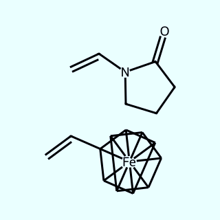 C=CN1CCCC1=O.C=C[C]12[CH]3[CH]4[CH]5[CH]1[Fe]45321678[CH]2[CH]1[CH]6[CH]7[CH]28